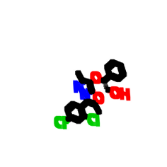 Cc1nn2c(-c3ccc(Cl)cc3Cl)c(C)oc2c1O[C@@H](CO)c1ccccc1